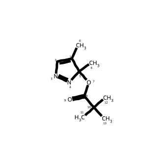 CC1=CN=NC1(C)OC(=O)C(C)(C)C